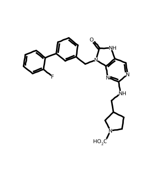 O=C(O)N1CCC(CNc2ncc3[nH]c(=O)n(Cc4cccc(-c5ccccc5F)c4)c3n2)C1